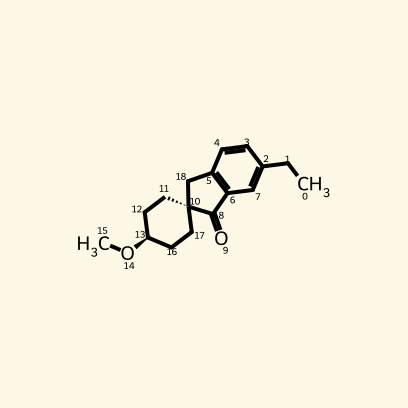 CCc1ccc2c(c1)C(=O)[C@]1(CC[C@H](OC)CC1)C2